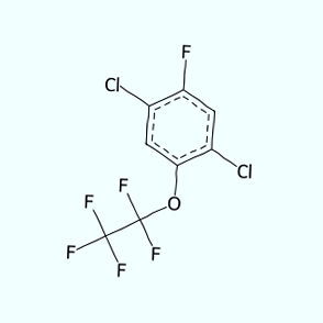 Fc1cc(Cl)c(OC(F)(F)C(F)(F)F)cc1Cl